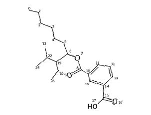 CCCCCCC(OC(=O)c1cccc(C(=O)O)c1)C(CC)C(C)C